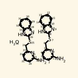 Nc1cccc(CSc2nc3ccccc3[nH]2)n1.Nc1cccc(CSc2nc3ccccc3[nH]2)n1.O